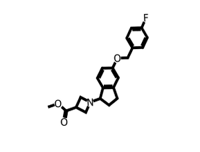 COC(=O)C1CN(C2CCc3cc(OCc4ccc(F)cc4)ccc32)C1